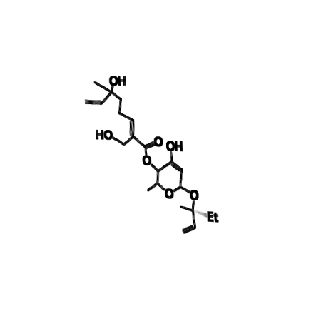 C=CC(C)(O)CC/C=C(\CO)C(=O)OC1C(O)=CC(O[C@](C)(C=C)CC)OC1C